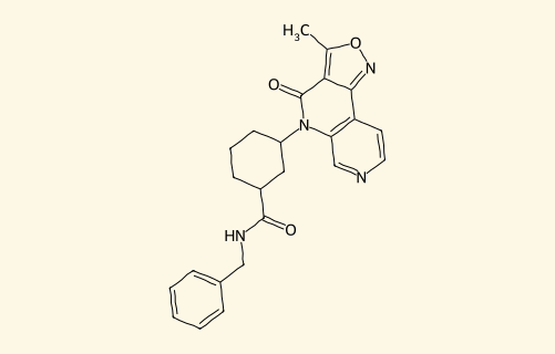 Cc1onc2c1c(=O)n(C1CCCC(C(=O)NCc3ccccc3)C1)c1cnccc21